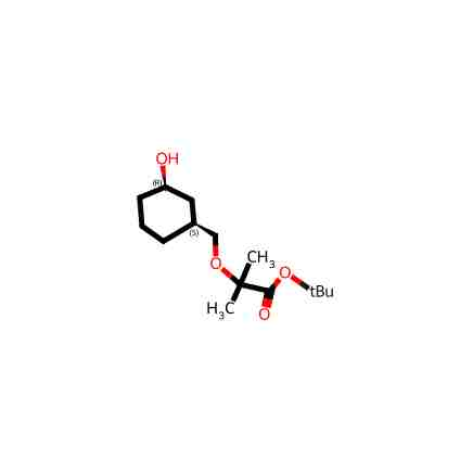 CC(C)(C)OC(=O)C(C)(C)OC[C@H]1CCC[C@@H](O)C1